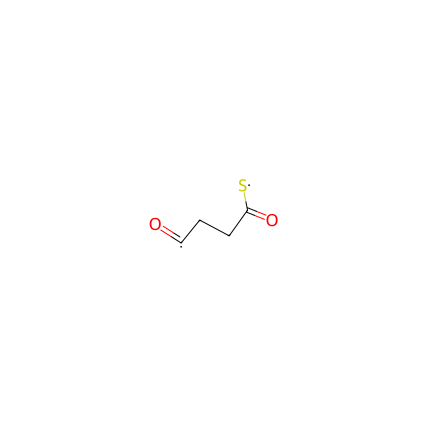 O=[C]CCC(=O)[S]